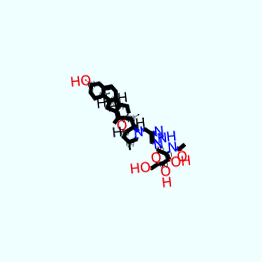 CC(=O)N[C@H]1C(O)[C@@H](O)C(CO)O[C@H]1n1cc(CN2C[C@@H](C)C[C@H]3O[C@]4(CC[C@@H]5C(=C4C)C[C@H]4[C@H]5CC=C5C[C@@H](O)CC[C@@]54C)[C@H](C)[C@@H]32)nn1